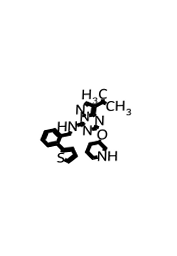 CC(C)c1cnn2c(NCc3ccccc3-c3cccs3)nc(O[C@@H]3CCCNC3)nc12